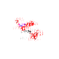 CCC1(O)CO[C@@H](OC2C(O)[C@H](O[C@H]3C(C)O[C@@H](OC4C(O)[C@@H](NC(=O)CO[C@@H]5O[C@@H](CO)C(O)C5O)C(CO)O[C@H]4OC(=O)[C@]45CCC(C)(C)CC4C4=CCC6C7(C)CC[C@H](O[C@@H]8OC(C(=O)O)[C@@H](O)[C@H](O[C@@H]9OC[C@@H](O)[C@H](O)C9O)C8O[C@@H]8OC(CO)[C@H](O)[C@H](O)C8O)[C@](C)(C=O)[C@@H]7CC[C@]6(C)[C@]4(C)CC5O)C(O)C3O)OC[C@H]2O)[C@H]1O